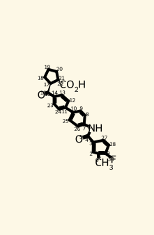 Cc1cc(C(=O)Nc2ccc(-c3ccc(C(=O)[C@H]4CCC[C@@H]4C(=O)O)cc3)cc2)ccc1F